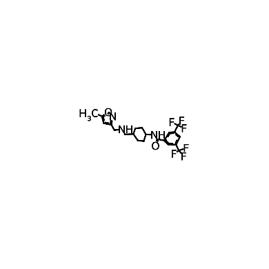 Cc1cc(CNCC2CCC(NC(=O)c3cc(C(F)(F)F)cc(C(F)(F)F)c3)CC2)no1